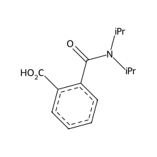 CC(C)N(C(=O)c1ccccc1C(=O)O)C(C)C